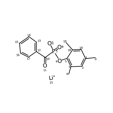 Cc1cc(C)c(OP(=O)([O-])C(=O)c2ccccc2)c(C)c1.[Li+]